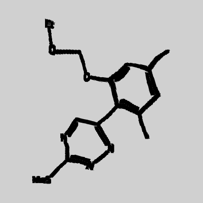 CCOCOc1cc(C)cc(C)c1-c1cnc(SC)nn1